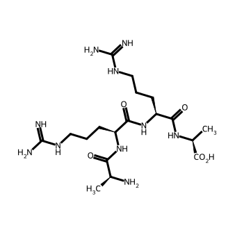 C[C@H](N)C(=O)N[C@@H](CCCNC(=N)N)C(=O)N[C@@H](CCCNC(=N)N)C(=O)N[C@@H](C)C(=O)O